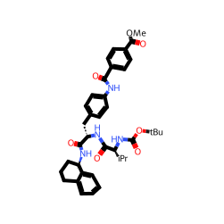 COC(=O)c1ccc(C(=O)Nc2ccc(C[C@H](NC(=O)[C@@H](NC(=O)OC(C)(C)C)C(C)C)C(=O)N[C@@H]3CCCc4ccccc43)cc2)cc1